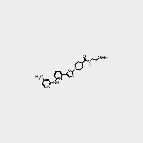 COCCNC(=O)C1CCN(c2ncc(-c3cccc(Nc4cc(C)ccn4)n3)s2)CC1